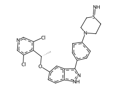 C[C@H](Oc1ccc2[nH]nc(-c3ccc(N4CCS(=N)CC4)cc3)c2c1)c1c(Cl)cncc1Cl